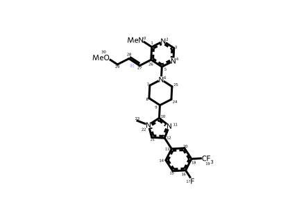 CNc1ncnc(N2CCC(c3nc(-c4ccc(F)c(C(F)(F)F)c4)cn3C)CC2)c1/C=C/COC